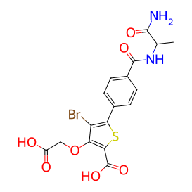 CC(NC(=O)c1ccc(-c2sc(C(=O)O)c(OCC(=O)O)c2Br)cc1)C(N)=O